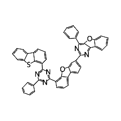 c1ccc(-c2nc(-c3cccc4c3oc3cc(-c5nc(-c6ccccc6)c6oc7ccccc7c6n5)ccc34)nc(-c3cccc4c3sc3ccccc34)n2)cc1